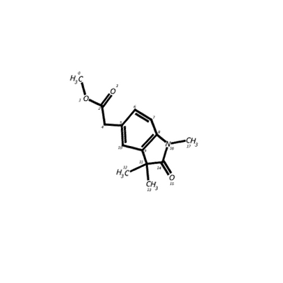 COC(=O)Cc1ccc2c(c1)C(C)(C)C(=O)N2C